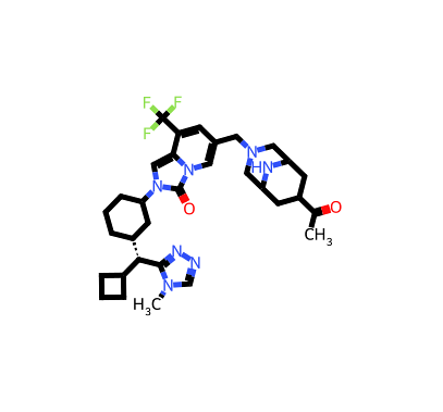 CC(=O)C1CC2CN(Cc3cc(C(F)(F)F)c4cn(C5CCCC([C@H](c6nncn6C)C6CCC6)C5)c(=O)n4c3)CC(C1)N2